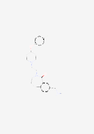 CN(C)Cc1ccc2c(c1)C(=O)N(CCN1CCC(Oc3ccc(F)cc3)CC1)CCC2